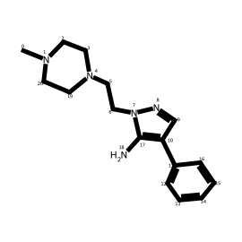 CN1CCN(CCn2ncc(-c3ccccc3)c2N)CC1